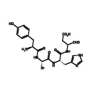 CC(C)[C@H](NC(=O)[C@@H](N)Cc1ccc(O)cc1)C(=O)N[C@@H](Cc1c[nH]cn1)C(=O)NC(C=O)CC(=O)O